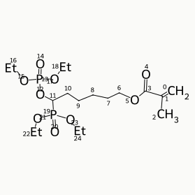 C=C(C)C(=O)OCCCCCC(OP(=O)(OCC)OCC)P(=O)(OCC)OCC